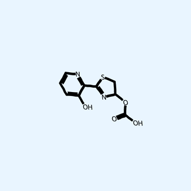 O=C(O)OC1CSC(c2ncccc2O)=N1